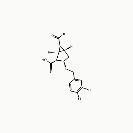 O=C(O)C1[C@H]2[C@H](C(=O)O)[C@H](OCc3ccc(Cl)c(Cl)c3)C[C@@H]12